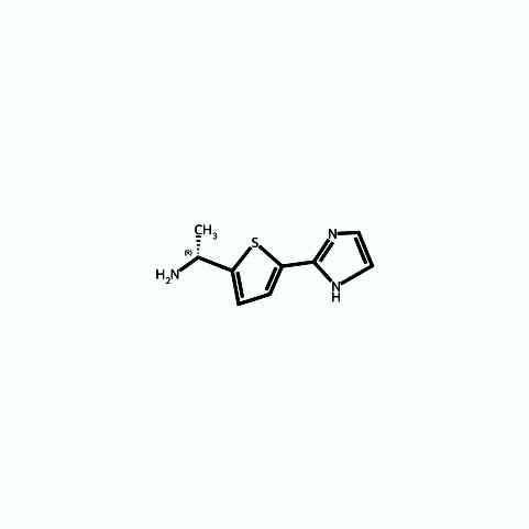 C[C@@H](N)c1ccc(-c2ncc[nH]2)s1